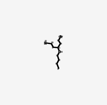 CCCCOC(CCBr)CCBr